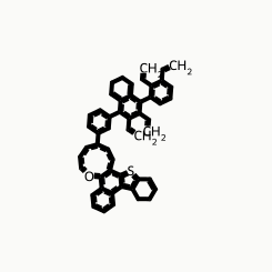 C=Cc1cccc(-c2c(C=C)c(C=C)c(-c3cccc(-c4cccoc5c6ccccc6c6c7c(sc6c5cc4)C=CCC7)c3)c3c2=CCCC=3)c1C=C